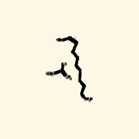 C=C(O)C(=O)O.CCCCCCCC/C=C\CCCCCCCC(=O)O